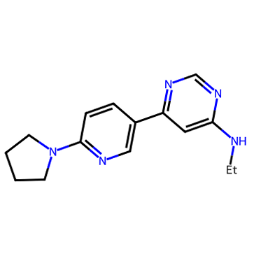 CCNc1cc(-c2ccc(N3CCCC3)nc2)ncn1